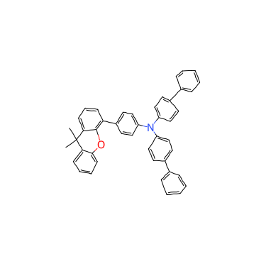 CC1(C)c2ccccc2Oc2c(-c3ccc(N(c4ccc(-c5ccccc5)cc4)c4ccc(-c5ccccc5)cc4)cc3)cccc21